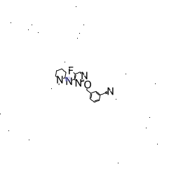 CN1CCCC/C1=N\c1nc(OCc2cccc(C#N)c2)ncc1F